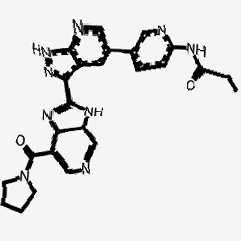 CCC(=O)Nc1ccc(-c2cnc3[nH]nc(C4=NC5C(C(=O)N6CCCC6)=CN=CC5N4)c3c2)cn1